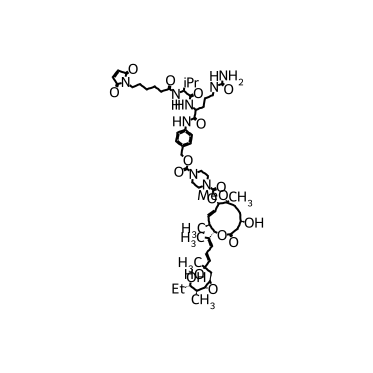 CC[C@H](O)[C@@H](C)[C@H]1O[C@@H]1CC(C)(O)/C=C/C=C(\C)[C@H]1OC(=O)C[C@H](O)CC[C@@](C)(OC)[C@@H](OC(=O)N2CCN(C(=O)OCc3ccc(NC(=O)C(CCCNC(N)=O)NC(=O)C(NC(=O)CCCCCN4C(=O)C=CC4=O)C(C)C)cc3)CC2)/C=C/[C@@H]1C